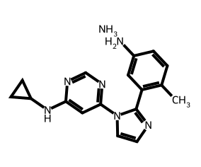 Cc1ccc(N)cc1-c1nccn1-c1cc(NC2CC2)ncn1.N